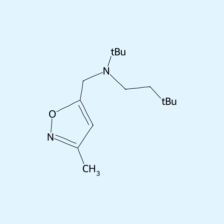 Cc1cc(CN(CCC(C)(C)C)C(C)(C)C)on1